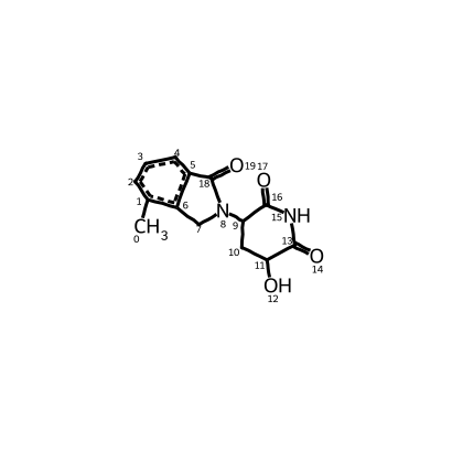 Cc1cccc2c1CN(C1CC(O)C(=O)NC1=O)C2=O